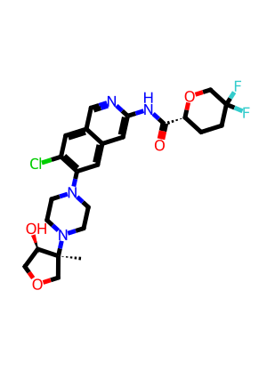 C[C@]1(N2CCN(c3cc4cc(NC(=O)[C@H]5CCC(F)(F)CO5)ncc4cc3Cl)CC2)COC[C@H]1O